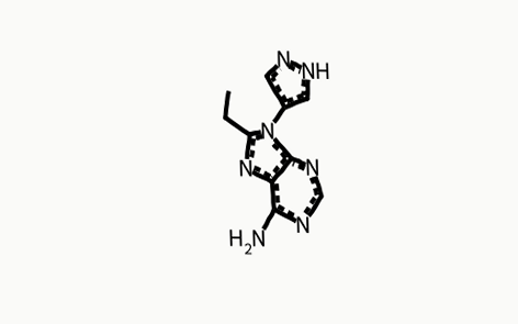 CCc1nc2c(N)ncnc2n1-c1cn[nH]c1